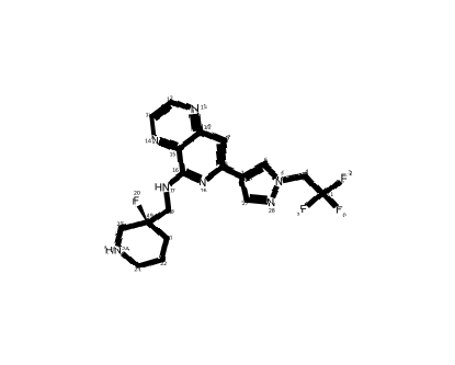 FC(F)(F)Cn1cc(-c2cc3nccnc3c(NC[C@]3(F)CCCNC3)n2)cn1